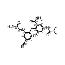 CC(C)C(=O)Nc1cc(Cl)c(Cc2ccc(C#N)cc2OCC(N)=O)c(C(N)=O)c1